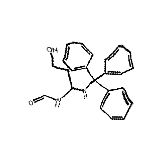 O=CNC(CCO)NC(c1ccccc1)(c1ccccc1)c1ccccc1